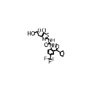 O=C(O)Cc1nc(NC(=O)Nc2ccc(C(F)(F)F)cc2C(=O)C2CCCC2)sc1Cl